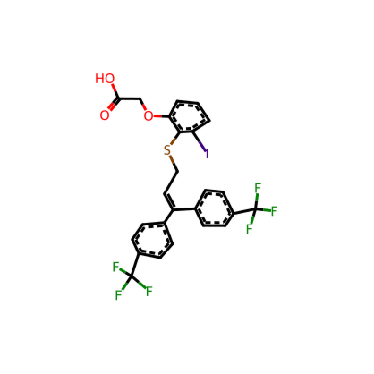 O=C(O)COc1cccc(I)c1SCC=C(c1ccc(C(F)(F)F)cc1)c1ccc(C(F)(F)F)cc1